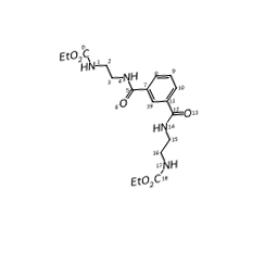 CCOC(=O)NCCNC(=O)c1cccc(C(=O)NCCNC(=O)OCC)c1